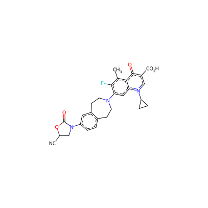 Cc1c(F)c(N2CCc3ccc(N4CC(C#N)OC4=O)cc3CC2)cc2c1c(=O)c(C(=O)O)cn2C1CC1